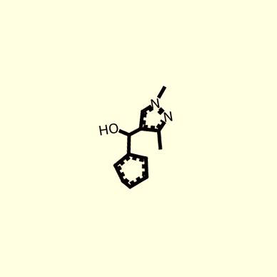 Cc1nn(C)cc1C(O)c1ccccc1